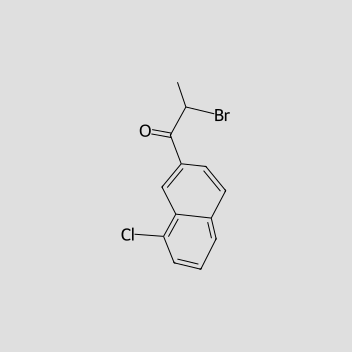 CC(Br)C(=O)c1ccc2cccc(Cl)c2c1